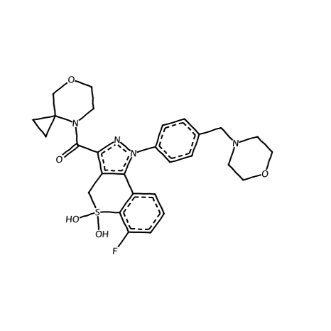 O=C(c1nn(-c2ccc(CN3CCOCC3)cc2)c2c1CS(O)(O)c1c(F)cccc1-2)N1CCOCC12CC2